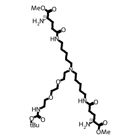 COC(=O)[C@@H](N)CCC(=O)NCCCCCN(CCCCCNC(=O)CC[C@H](N)C(=O)OC)CCOCCOCCNC(=O)OC(C)(C)C